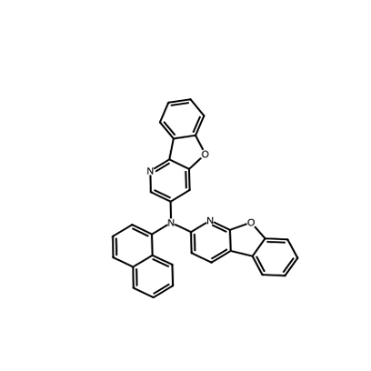 c1ccc2c(N(c3cnc4c(c3)oc3ccccc34)c3ccc4c(n3)oc3ccccc34)cccc2c1